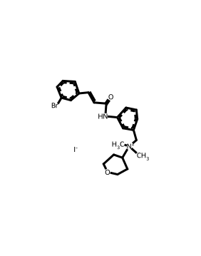 C[N+](C)(Cc1cccc(NC(=O)C=Cc2cccc(Br)c2)c1)C1CCOCC1.[I-]